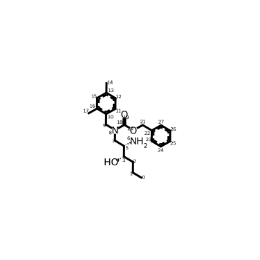 CCC[C@H](O)[C@@H](N)CN(Cc1ccc(C)cc1C)C(=O)OCc1ccccc1